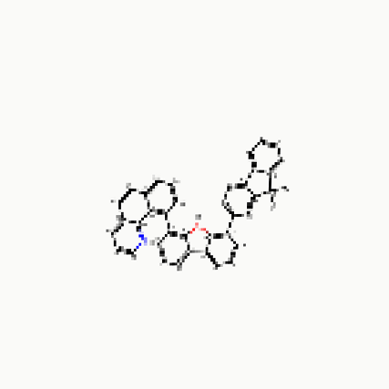 CC1(C)c2ccccc2-c2ccc(-c3cccc4c3oc3c(-c5cccc6ccc7cccnc7c56)cccc34)cc21